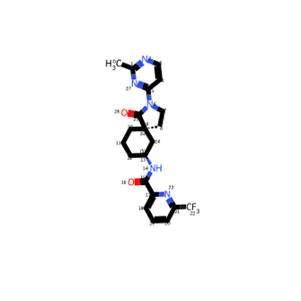 Cc1nccc(N2CC[C@]3(CCC[C@H](NC(=O)c4cccc(C(F)(F)F)n4)C3)C2=O)n1